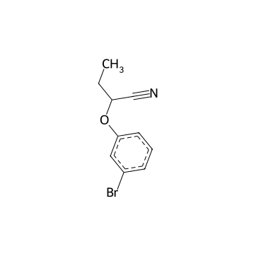 CCC(C#N)Oc1cccc(Br)c1